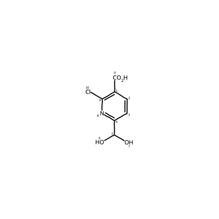 O=C(O)c1ccc(C(O)O)nc1Cl